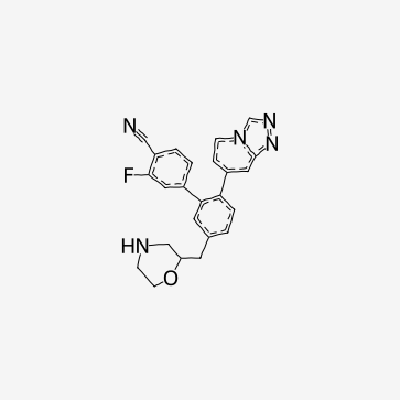 N#Cc1ccc(-c2cc(CC3CNCCO3)ccc2-c2ccn3cnnc3c2)cc1F